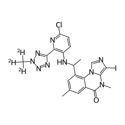 [2H]C([2H])([2H])n1nnc(-c2nc(Cl)ccc2NC(C)c2cc(C)cc3c(=O)n(C)c4c(I)ncn4c23)n1